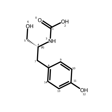 O=C(O)N[C@@H](CO)Cc1ccc(O)cc1